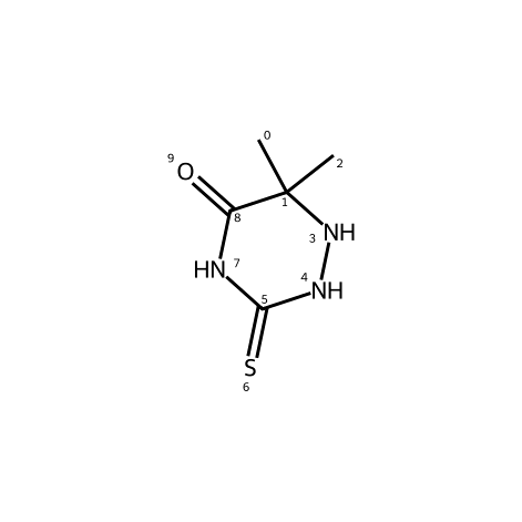 CC1(C)NNC(=S)NC1=O